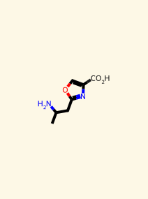 CC(N)Cc1nc(C(=O)O)co1